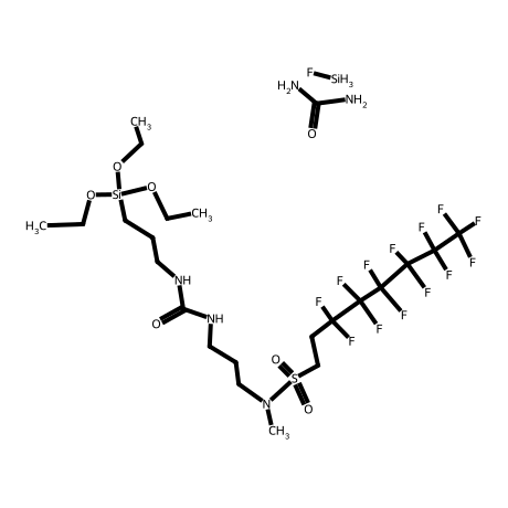 CCO[Si](CCCNC(=O)NCCCN(C)S(=O)(=O)CCC(F)(F)C(F)(F)C(F)(F)C(F)(F)C(F)(F)C(F)(F)F)(OCC)OCC.F[SiH3].NC(N)=O